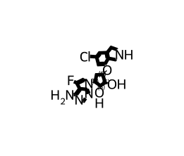 Nc1ncnc2c1c(F)cn2[C@@H]1C[C@H](Oc2cc(Cl)cc3c2CNCC3)[C@@H](O)[C@H]1O